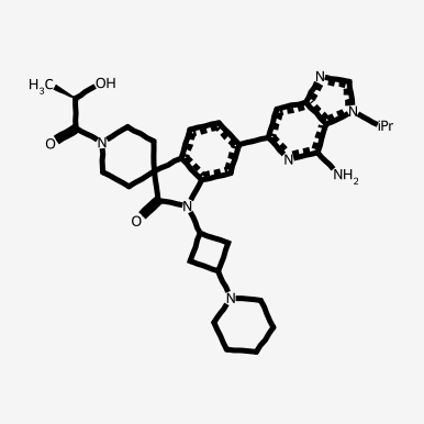 CC(C)n1cnc2cc(-c3ccc4c(c3)N(C3CC(N5CCCCC5)C3)C(=O)C43CCN(C(=O)[C@@H](C)O)CC3)nc(N)c21